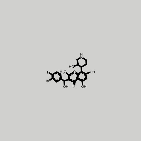 Cc1oc2c(C3CCNCC3O)c(O)cc(O)c2c(=O)c1C(O)c1ccc(F)c(Br)c1